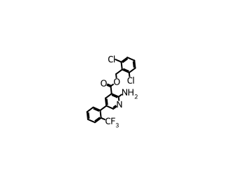 Nc1ncc(-c2ccccc2C(F)(F)F)cc1C(=O)OCc1c(Cl)cccc1Cl